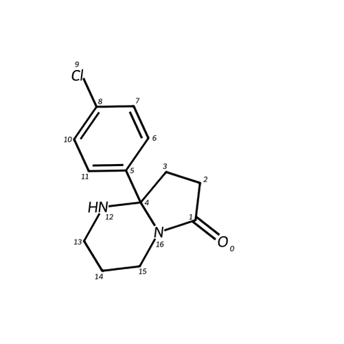 O=C1CCC2(c3ccc(Cl)cc3)NCCCN12